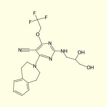 N#Cc1c(OCC(F)(F)F)nc(NCC(O)CO)nc1N1CCc2ccccc2CC1